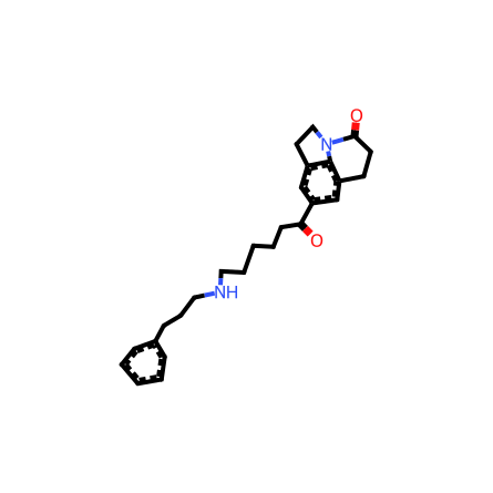 O=C(CCCCCNCCCc1ccccc1)c1cc2c3c(c1)CCN3C(=O)CC2